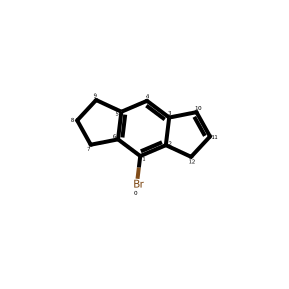 Brc1c2c(cc3c1CCC3)C=CC2